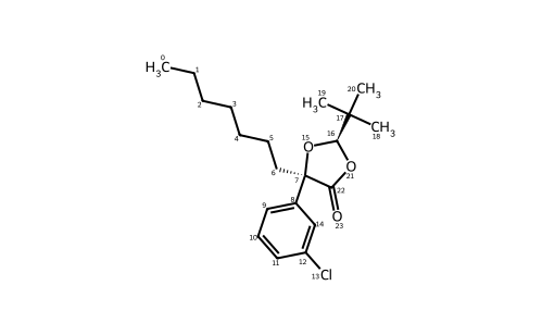 CCCCCCC[C@]1(c2cccc(Cl)c2)O[C@@H](C(C)(C)C)OC1=O